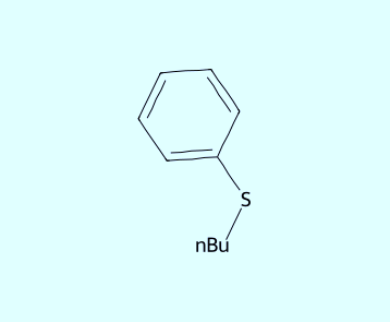 C[CH]CCSc1ccccc1